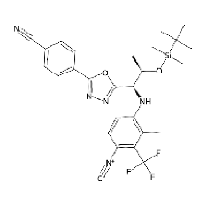 [C-]#[N+]c1ccc(N[C@@H](c2nnc(-c3ccc(C#N)cc3)o2)[C@@H](C)O[Si](C)(C)C(C)(C)C)c(C)c1C(F)(F)F